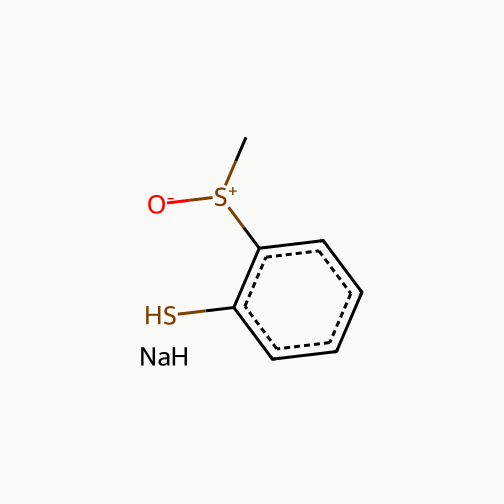 C[S+]([O-])c1ccccc1S.[NaH]